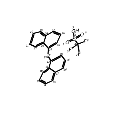 O=S(=O)(O)C(F)(F)F.c1ccc2c([I+]c3cccc4ccccc34)cccc2c1